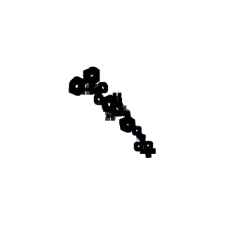 CC(C)(C)OC(=O)/C=C/Oc1cccc(CN2C[C@H]3C[C@H](OC(=O)Nc4ccccc4-c4ccccc4)C[C@H]3C2)c1